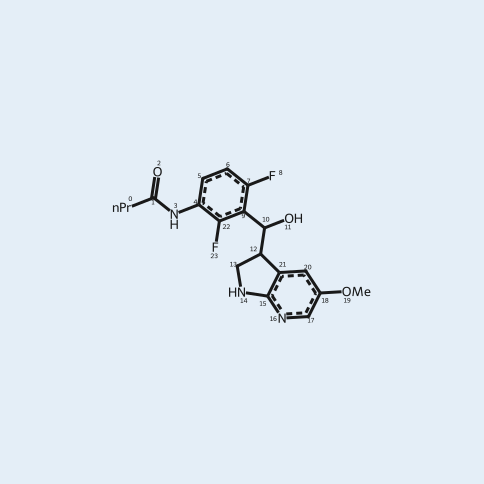 CCCC(=O)Nc1ccc(F)c(C(O)C2CNc3ncc(OC)cc32)c1F